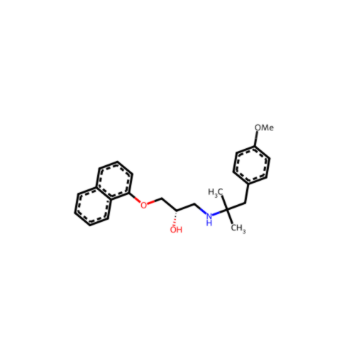 COc1ccc(CC(C)(C)NC[C@H](O)COc2cccc3ccccc23)cc1